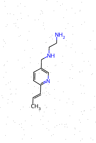 CC=Cc1ccc(CNCCN)cn1